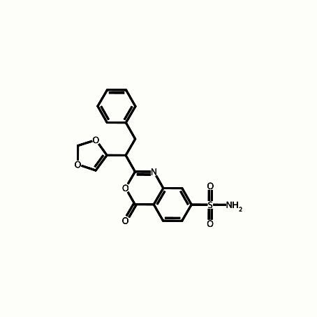 NS(=O)(=O)c1ccc2c(=O)oc(C(Cc3ccccc3)C3=COCO3)nc2c1